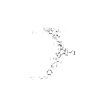 CCC(C(=O)O)n1cc2c(nc(N)n3nc(-c4cc(Nc5nc6nn(C(CC)C(=O)N7CCN(c8ccc(OCCOC)cc8)CC7)cc6c6nc(-c7ccco7)nn56)co4)nc23)n1